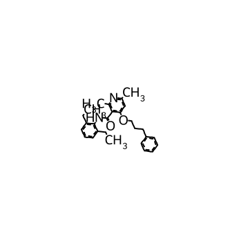 CCc1cccc(CC)c1NC(=O)c1c(OCCCc2ccccc2)cc(C)nc1C